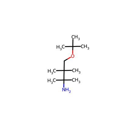 CC(C)(C)OCC(C)(C)C(C)(C)N